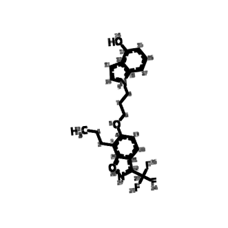 CCCc1c(OCCCn2ccc3c(O)cccc32)ccc2c(C(F)(F)F)noc12